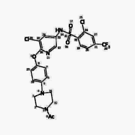 CC(=O)N1CCN(c2ccc(Oc3ncc(NS(=O)(=O)c4ccc(C(F)(F)F)cc4Cl)cc3Cl)cc2)CC1